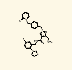 COCc1nn(Cc2ccc(Cn3ccccc3=O)cc2)cc1C(=O)NCc1cc(F)ccc1-n1cnnn1